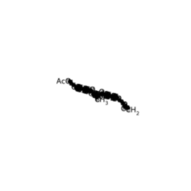 C=CC(=O)OCCCOc1ccc(-c2ccc(C(=O)Oc3ccc(OC(=O)c4ccc(-c5ccc(OCCCOC(C)=O)cc5)cc4)cc3C)cc2)cc1